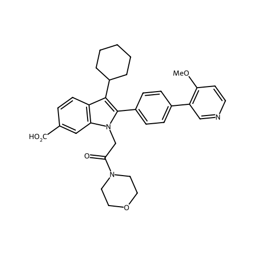 COc1ccncc1-c1ccc(-c2c(C3CCCCC3)c3ccc(C(=O)O)cc3n2CC(=O)N2CCOCC2)cc1